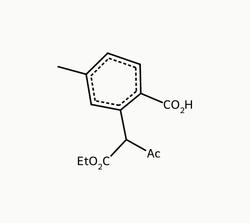 CCOC(=O)C(C(C)=O)c1cc(C)ccc1C(=O)O